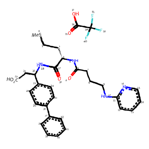 CSCC[C@H](NC(=O)CCCNc1ccccn1)C(=O)NC(CC(=O)O)c1ccc(-c2ccccc2)cc1.O=C(O)C(F)(F)F